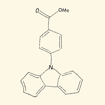 COC(=O)c1ccc(-n2c3ccccc3c3ccccc32)cc1